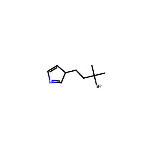 CCCC(C)(C)CCC1C=CN=C1